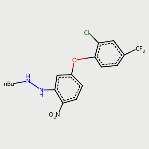 CCCCNNc1cc(Oc2ccc(C(F)(F)F)cc2Cl)ccc1[N+](=O)[O-]